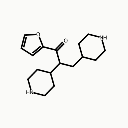 O=C(c1ccco1)C([CH]C1CCNCC1)C1CCNCC1